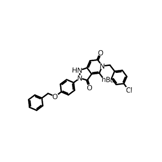 CCCCc1c2c(=O)n(-c3ccc(OCc4ccccc4)cc3)[nH]c2cc(=O)n1Cc1ccc(Cl)cc1